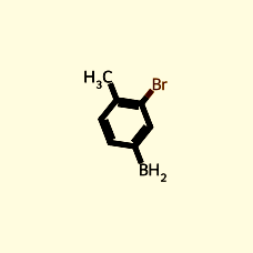 Bc1ccc(C)c(Br)c1